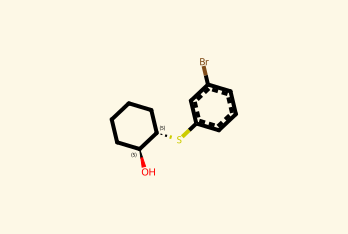 O[C@H]1CCCC[C@@H]1Sc1cccc(Br)c1